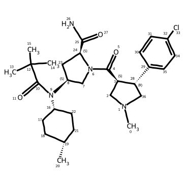 CN1C[C@@H](C(=O)N2C[C@@H](N(C(=O)C(C)(C)C)[C@H]3CC[C@@H](C)CC3)C[C@H]2C(N)=O)[C@H](c2ccc(Cl)cc2)C1